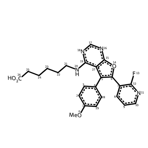 COc1ccc(-c2c(-c3cccnc3F)oc3ncnc(NCCCCCC(=O)O)c23)cc1